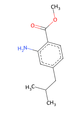 COC(=O)c1ccc(CC(C)C)cc1N